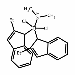 CCC1=Cc2ccccc2[CH]1[Ti]([Cl])([Cl])([CH]1C(CC)=Cc2ccccc21)[SiH](C)C